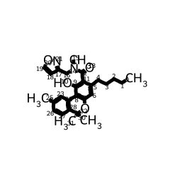 CCCCCc1cc2c(c(O)c1C(=O)N(C)Cc1ccon1)-c1cc(C)ccc1C(C)(C)O2